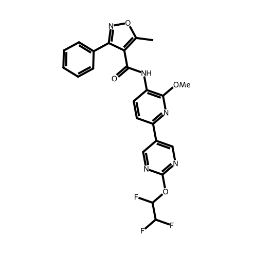 COc1nc(-c2cnc(OC(F)C(F)F)nc2)ccc1NC(=O)c1c(-c2ccccc2)noc1C